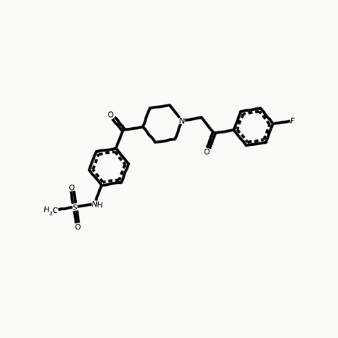 CS(=O)(=O)Nc1ccc(C(=O)C2CCN(CC(=O)c3ccc(F)cc3)CC2)cc1